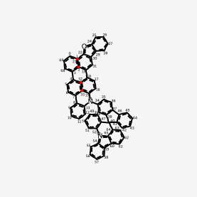 c1ccc(-c2ccc(-c3ccccc3N(c3ccc(-c4ccc5oc6ccccc6c5c4)cc3)c3ccc4c(c3)C3(c5ccccc5-4)c4ccccc4-n4c5ccccc5c5cccc3c54)cc2)cc1